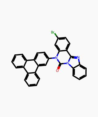 O=c1n(-c2ccc3c4ccccc4c4ccccc4c3c2)c2cc(Br)ccc2c2nc3ccccc3n12